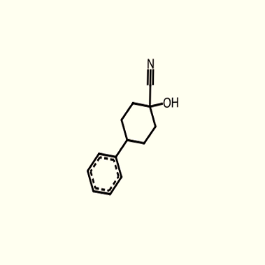 N#CC1(O)CCC(c2ccccc2)CC1